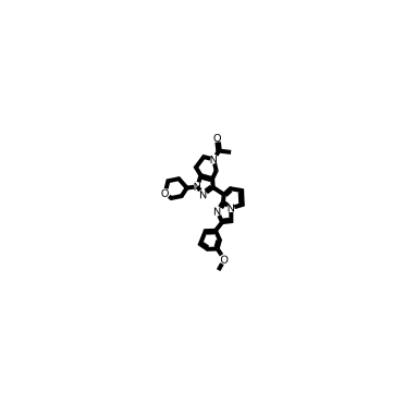 COc1cccc(-c2cn3cccc(-c4nn(C5CCOCC5)c5c4CN(C(C)=O)CC5)c3n2)c1